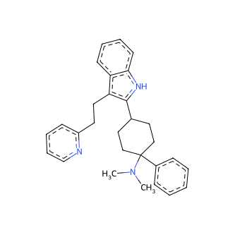 CN(C)C1(c2ccccc2)CCC(c2[nH]c3ccccc3c2CCc2ccccn2)CC1